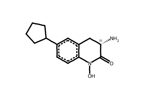 N[C@H]1Cc2cc(C3CCCC3)ccc2N(O)C1=O